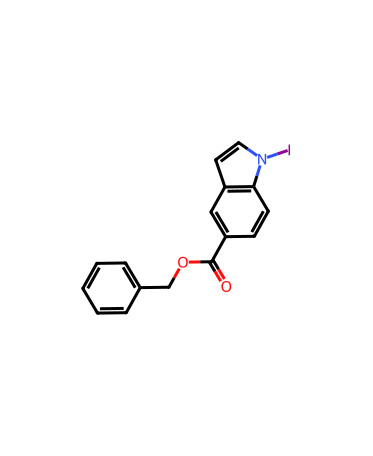 O=C(OCc1ccccc1)c1ccc2c(ccn2I)c1